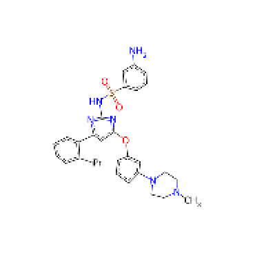 CC(C)c1ccccc1-c1cc(Oc2cccc(N3CCN(C)CC3)c2)nc(NS(=O)(=O)c2cccc(N)c2)n1